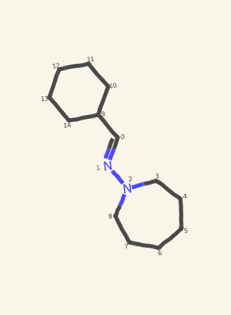 C(=NN1CCCCCC1)C1CCCCC1